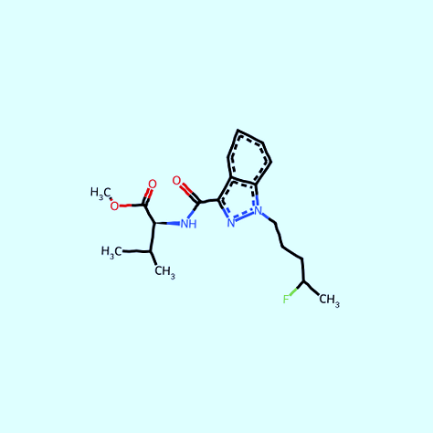 COC(=O)[C@@H](NC(=O)c1nn(CCCC(C)F)c2ccccc12)C(C)C